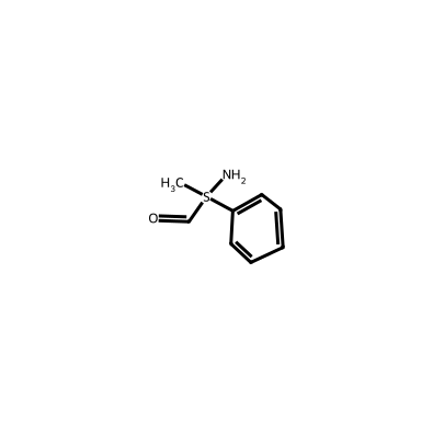 CS(N)(C=O)c1ccccc1